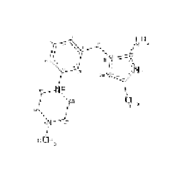 Cc1nc(C)n(Cc2cccc(N3CCN(C)CC3)c2)n1